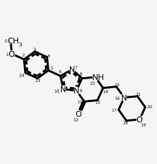 COc1ccc(-c2nc3n(n2)C(=O)CC(CN2CCOCC2)N3)cc1